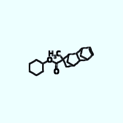 CC1(C(=O)OC2CCCCC2)CC2CC1C1C3C=CC(C3)C21